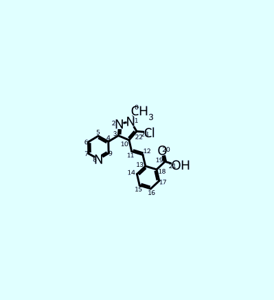 Cn1nc(-c2cccnc2)c(C=Cc2ccccc2C(=O)O)c1Cl